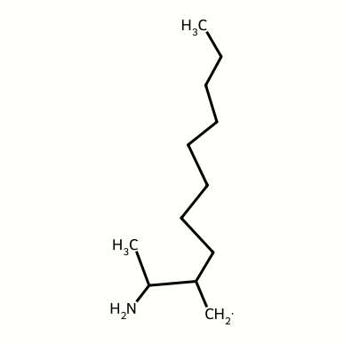 [CH2]C(CCCCCCCC)C(C)N